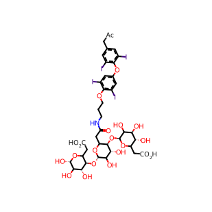 CC(=O)Cc1cc(I)c(Oc2cc(I)c(OCCCNC(=O)CC3O[C@@H](O[C@@H]4C(CC(=O)O)O[C@@H](O)C(O)[C@H]4O)C(O)[C@@H](O)[C@@H]3O[C@@H]3OC(CC(=O)O)[C@@H](O)[C@H](O)C3O)c(I)c2)c(I)c1